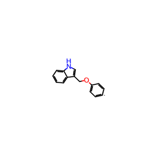 [c]1ccc(OCc2c[nH]c3ccccc23)cc1